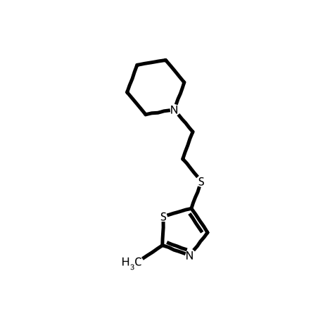 Cc1ncc(SCCN2CCCCC2)s1